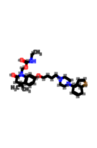 CCNC(=O)OCN1C(=O)CC(C)(C)c2ccc(OCCCCN3CCN(C4=C5C=CSC5CC=C4)CC3)cc21